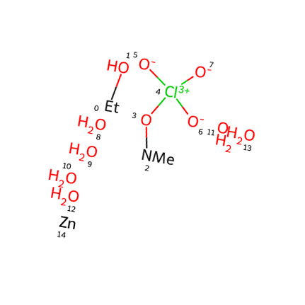 CCO.CNO[Cl+3]([O-])([O-])[O-].O.O.O.O.O.O.[Zn]